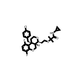 CC(C)(SCC[C@@H]1OCC[C@@]2(Cc3ccc(Cl)cc3)c3c(F)ccc(F)c3OC[C@@H]12)C(=O)NC1CC1